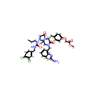 CCCN(C(=O)NCc1ccc(Cl)c(Cl)c1)N1CC(=O)N2[C@@H](Cc3ccc(OCC(=O)OC)cc3)C(=O)N(Cc3cccc4sc(N)nc34)C[C@@H]21